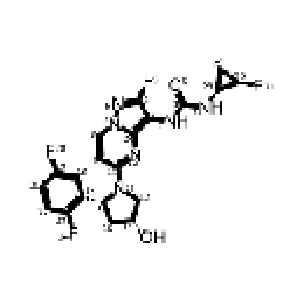 O=C(Nc1c(F)nn2ccc(N3C[C@H](O)C[C@@H]3c3cc(F)ccc3F)nc12)N[C@H]1C[C@H]1F